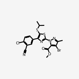 COC(=O)c1c(Br)c(C)nn1-c1nc(-c2ccc(Cl)c(C#N)c2)c(SC(C)C)s1